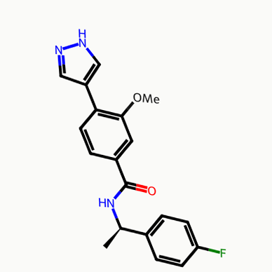 COc1cc(C(=O)N[C@H](C)c2ccc(F)cc2)ccc1-c1cn[nH]c1